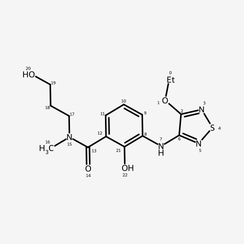 CCOc1nsnc1Nc1cccc(C(=O)N(C)CCCO)c1O